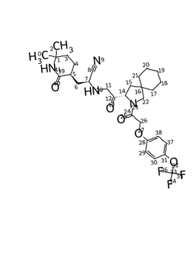 CC1(C)CC[C@@H](C[C@@H](C#N)NCC(=O)[C@@H]2CC3(CCCCC3)CN2C(=O)COc2ccc(OC(F)(F)F)cc2)C(=O)N1